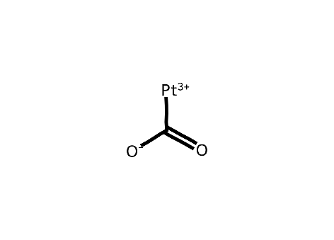 O=[C]([O-])[Pt+3]